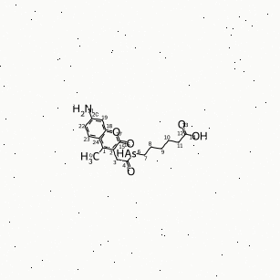 Cc1c(CC(=O)[AsH]CCCCCC(=O)O)c(=O)oc2cc(N)ccc12